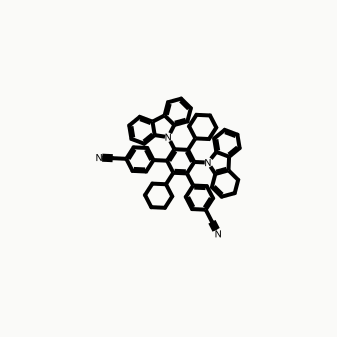 N#Cc1ccc(-c2c(C3CCCCC3)c(-c3ccc(C#N)cc3)c(-n3c4ccccc4c4ccccc43)c(C3CCCCC3)c2-n2c3c(c4ccccc42)CCC=C3)cc1